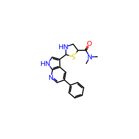 CN(C)C(=O)C1CNC(c2c[nH]c3ncc(-c4ccccc4)cc23)S1